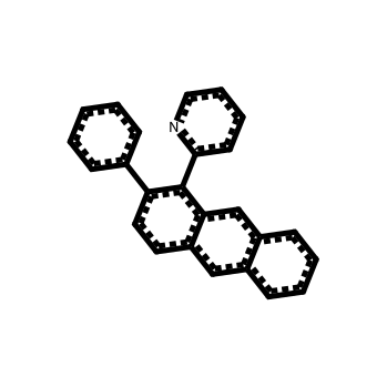 c1ccc(-c2ccc3cc4ccccc4cc3c2-c2ccccn2)cc1